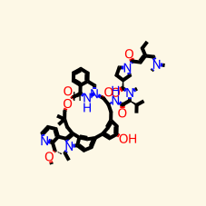 CC/C(=C\C(=O)N1CC[C@H](C(=O)N(C)[C@H](C(=O)N[C@H]2Cc3cc(O)cc(c3)-c3ccc4c(c3)c(c(-c3cccnc3[C@H](C)OC)n4CC)CC(C)(C)COC(=O)[C@H]3NN(Cc4ccccc43)C2=O)C(C)C)C1)CN(C)C